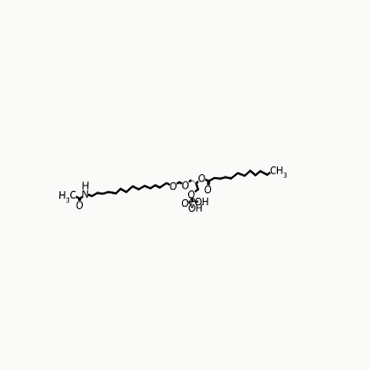 CCCCCCCCCCCC(=O)O[C@@H](COCOCCCCCCCCCCCCCCNC(C)=O)COP(=O)(O)O